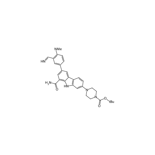 CNc1ccc(-c2cc(C(N)=O)c3[nH]c4cc(N5CCN(C(=O)OC(C)(C)C)CC5)ccc4c3c2)cc1C=N